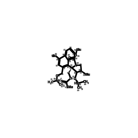 CSC(=S)OC[C@@]1(c2c(CO[SiH](C)C)cc(C(C)(C)C)c3ccccc23)C(O[SiH](C)C)[C@H](C(C)(C)C)CN1C(=O)OC(C)(C)C